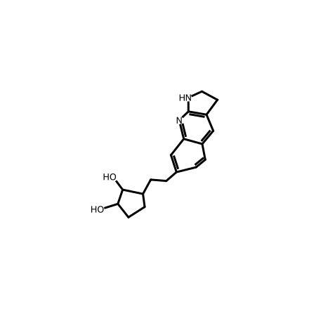 OC1CCC(CCc2ccc3cc4c(nc3c2)NCC4)C1O